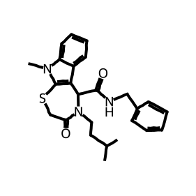 CC(C)CCN1C(=O)CSc2c(c3ccccc3n2C)C1C(=O)NCc1ccccc1